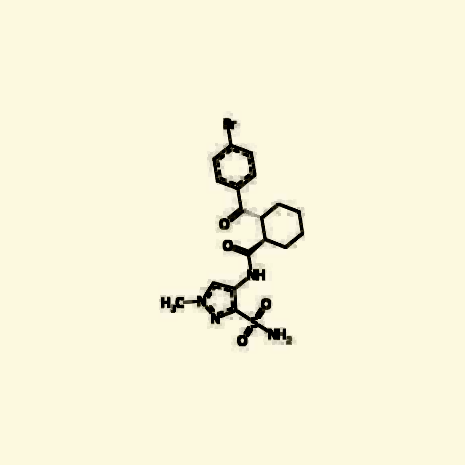 Cn1cc(NC(=O)[C@@H]2CCCC[C@H]2C(=O)c2ccc(Br)cc2)c(S(N)(=O)=O)n1